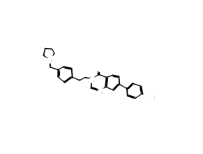 Cc1ccc(-c2ccc3c(=O)n(CCc4ccc(CN5CCCC5)cc4)cnc3c2)cc1